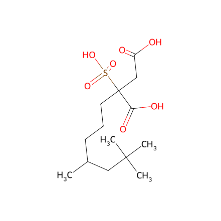 CC(CCCC(CC(=O)O)(C(=O)O)S(=O)(=O)O)CC(C)(C)C